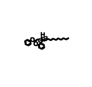 CCCCCCCCCC[SiH2]OCC(Oc1ccccc1)Oc1ccccc1